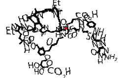 CCC(CCC(C)(CC)NC(=O)OCc1ccc(OC2CC(O)[C@@H](O)C(C(=O)O)O2)c(CC(=O)CCCNC(=O)[C@H](CC(=O)NCCS(=O)(=O)O)NC(=O)CC[C@H](NC(=O)c2ccc(NCc3cnc4nc(N)[nH]c(=O)c4n3)cc2)C(=O)O)c1)C(C)NC(=O)CC[C@@H]1c2nc(cc3[nH]c(cc4nc(cc5[nH]c6c(c5C)C(=O)C(C(=O)OC)c26)[C@H](CC)[C@H]4C)c(C(C)=O)c3C)[C@H]1C